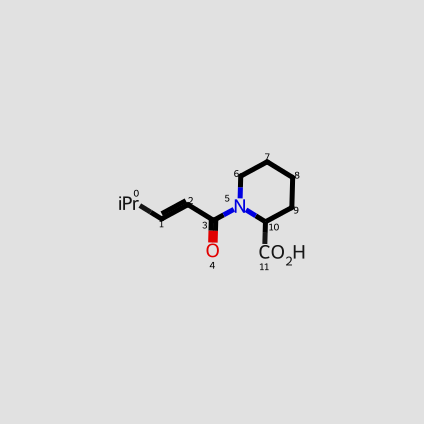 CC(C)/C=C/C(=O)N1CCCCC1C(=O)O